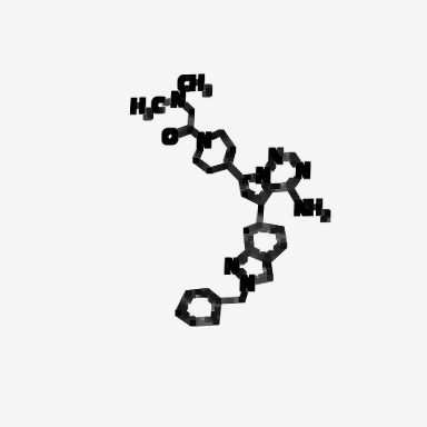 CN(C)CC(=O)N1CC=C(c2cc(-c3ccc4cn(Cc5ccccc5)nc4c3)c3c(N)ncnn23)CC1